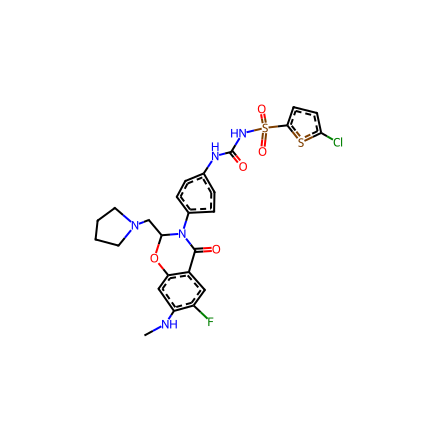 CNc1cc2c(cc1F)C(=O)N(c1ccc(NC(=O)NS(=O)(=O)c3ccc(Cl)s3)cc1)C(CN1CCCC1)O2